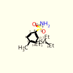 C[CH2][SnH]([CH2]C)[CH2]C.Cc1ccc(S(N)(=O)=O)cc1